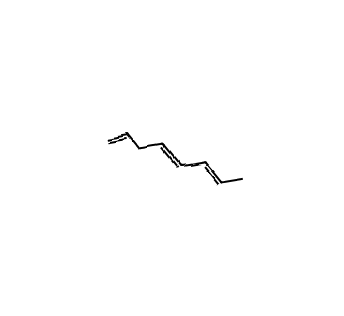 C=CC/C=C/C=C/C